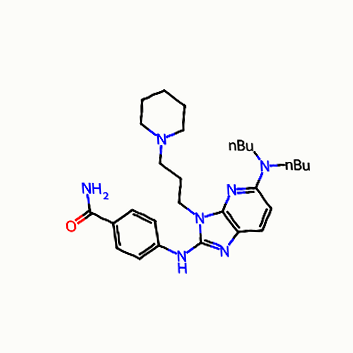 CCCCN(CCCC)c1ccc2nc(Nc3ccc(C(N)=O)cc3)n(CCCN3CCCCC3)c2n1